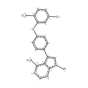 CC(C)n1cc(-c2ccc(Oc3cc(Cl)ccc3[N+](=O)[O-])cc2)c2c(N)ncnc21